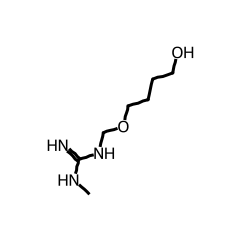 CNC(=N)NCOCCCCO